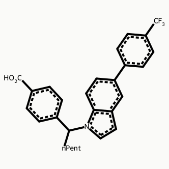 CCCCCC(c1ccc(C(=O)O)cc1)n1ccc2cc(-c3ccc(C(F)(F)F)cc3)ccc21